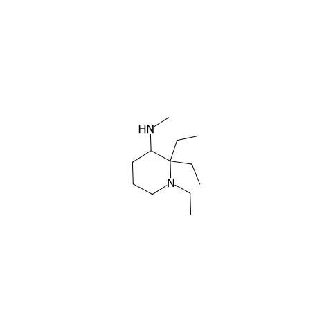 CCN1CCCC(NC)C1(CC)CC